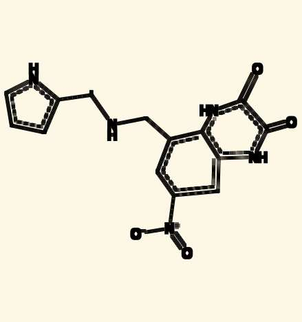 O=c1[nH]c2cc([N+](=O)[O-])cc(CN[CH]c3ccc[nH]3)c2[nH]c1=O